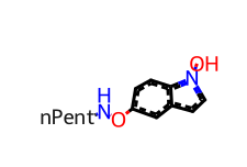 CCCCCNOc1ccc2c(ccn2O)c1